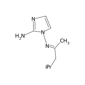 C/C(CC(C)C)=N\n1ccnc1N